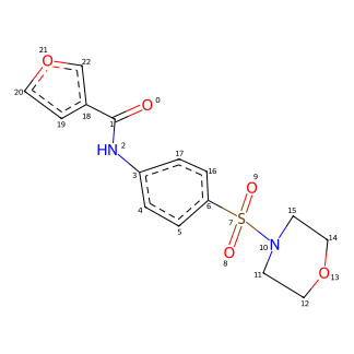 O=C(Nc1ccc(S(=O)(=O)N2CCOCC2)cc1)c1ccoc1